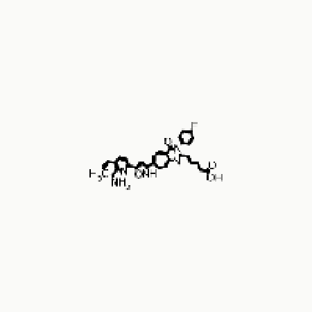 C/C=C\c1ccc(C2=CC(C3=CC=c4c(nc(CCCCC(=O)O)n(-c5ccc(F)cc5)c4=O)=CC3)NO2)nc1CN